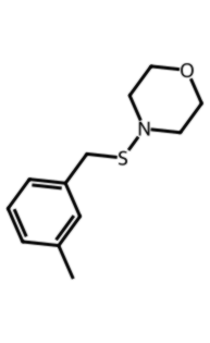 Cc1cccc(CSN2CCOCC2)c1